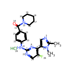 Cc1ncc(-c2nc(Nc3ccc(C(=O)N4CCCCC4)cc3)ncc2F)n1C.Cl